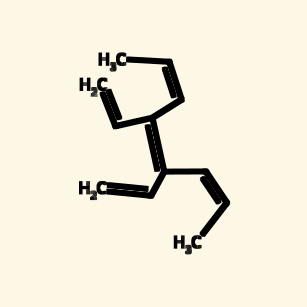 C=CC(/C=C\C)=C(C=C)/C=C\C